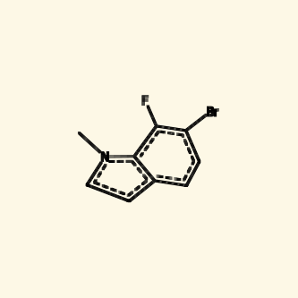 Cn1ccc2ccc(Br)c(F)c21